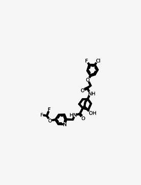 O=C(COc1ccc(Cl)c(F)c1)NC12CCC(C(=O)NCc3ccc(OC(F)F)cn3)(CC1)C(O)C2